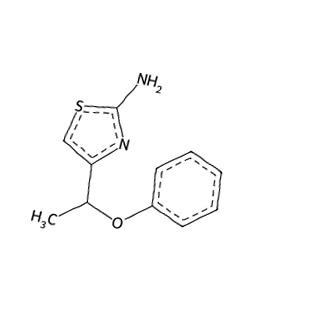 CC(Oc1ccccc1)c1csc(N)n1